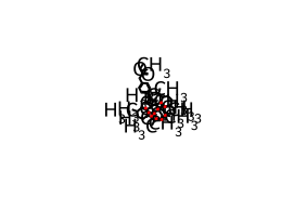 COC(=O)Cc1ccc(B2OC(C3CC(C)CCC3C(C)C)(C3CC(C)CCC3C(C)C)C(C3CC(C)CCC3C(C)C)(C3CC(C)CCC3C(C)C)O2)cc1